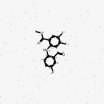 COC(=O)c1cc(F)c(F)cc1Nc1ccc(F)cc1C=O